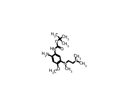 COc1cc(N)c(NC(=O)OC(C)(C)C)cc1N(C)CCN(C)C